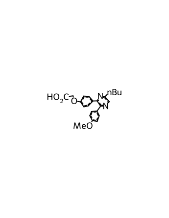 CCCCc1cnc(-c2ccc(OC)cc2)c(-c2ccc(OCC(=O)O)cc2)n1